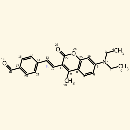 CCN(CC)c1ccc2c(C)c(/C=C/c3ccc(C=O)cc3)c(=O)oc2c1